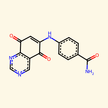 NC(=O)c1ccc(NC2=CC(=O)c3ncncc3C2=O)cc1